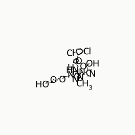 Cc1nc(NCCOCCOCCO)c(NCc2ccc(-c3cc(Cl)ccc3Cl)o2)c(Nc2ccncc2C(=O)O)n1